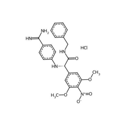 COc1cc([C@H](Nc2ccc(C(=N)N)cc2)C(=O)NCc2ccccc2)cc(OC)c1[N+](=O)[O-].Cl